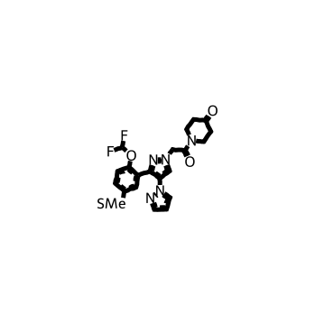 CSc1ccc(OC(F)F)c(-c2nn(CC(=O)N3CCC(=O)CC3)cc2-n2cccn2)c1